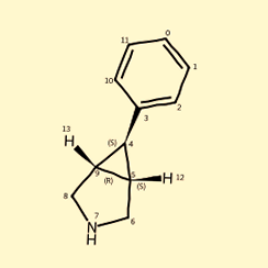 c1ccc([C@H]2[C@@H]3CNC[C@@H]32)cc1